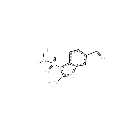 CN(C)S(=O)(=O)n1c(N)nc2cc(C=O)ccc21